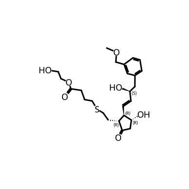 COCc1cccc(C[C@H](O)C=C[C@H]2[C@H](O)CC(=O)[C@@H]2CCSCCCC(=O)OCCO)c1